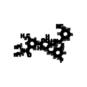 CCCN(CCC)C(=O)c1cc(C)cc(C(=O)N[C@@H](Cc2cc(F)cc(F)c2)[C@H](O)CNCc2cccc(C#N)c2)c1